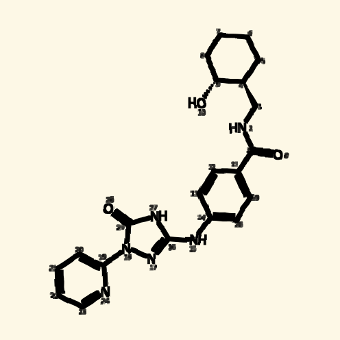 O=C(NC[C@@H]1CCCC[C@H]1O)c1ccc(Nc2nn(-c3ccccn3)c(=O)[nH]2)cc1